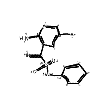 N=C(c1cc(Br)cnc1N)S(=O)(=O)Nc1ccccc1